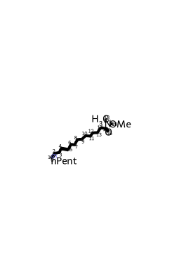 CCCCC/C=C\CC=CCCCCCCCCCC(=O)N(C)OC